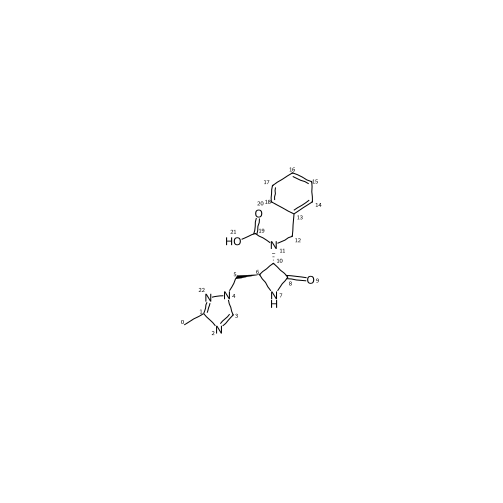 Cc1ncn(C[C@@H]2NC(=O)[C@H]2N(Cc2ccccc2)C(=O)O)n1